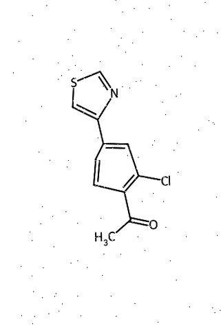 CC(=O)c1ccc(-c2cscn2)cc1Cl